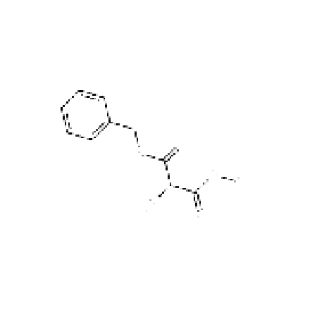 C=C(OC)[C@@H](N)C(=O)NCc1ccccc1